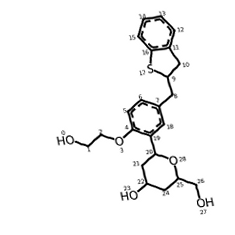 OCCOc1ccc(CC2Cc3ccccc3S2)cc1C1CC(O)CC(CO)O1